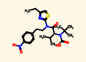 CCc1csc(N(CCc2ccc([N+](=O)[O-])cc2)C(=O)[C@H](C(C)C)N(C(=O)O)C(C)(C)C)n1